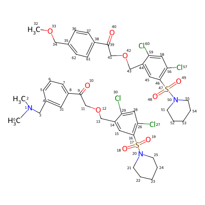 CN(C)Cc1cccc(C(=O)COCc2cc(S(=O)(=O)N3CCCCC3)c(Cl)cc2Cl)c1.COCc1ccc(C(=O)COCc2cc(S(=O)(=O)N3CCCCC3)c(Cl)cc2Cl)cc1